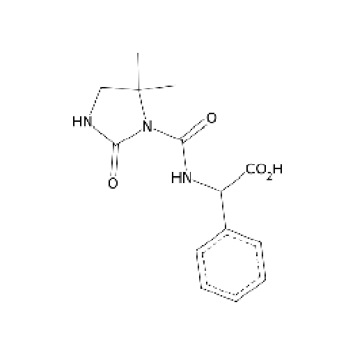 CC1(C)CNC(=O)N1C(=O)NC(C(=O)O)c1ccccc1